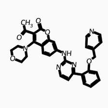 CC(=O)c1c(N2CCOCC2)c2ccc(Nc3nccc(-c4ccccc4OCc4ccncc4)n3)cc2oc1=O